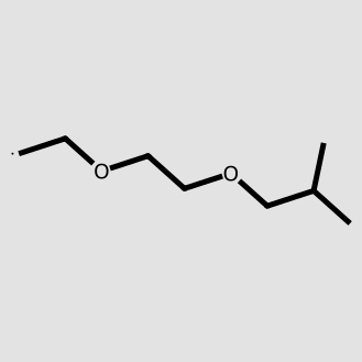 [CH2]COCCOCC(C)C